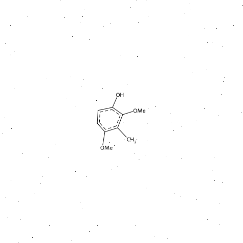 [CH2]c1c(OC)ccc(O)c1OC